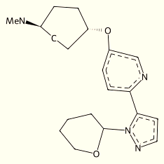 CN[C@H]1CC[C@H](Oc2ccc(-c3ccnn3C3CCCCO3)nc2)CC1